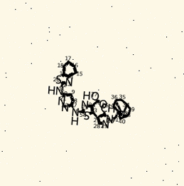 Cc1c(-c2sc(Nc3ccc(Nc4nc5ccccc5s4)nn3)nc2C(=O)O)cnn1CC12CC3CC(CC(C3)C1)C2